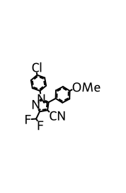 COc1ccc(-c2c(C#N)c(C(F)F)nn2-c2ccc(Cl)cc2)cc1